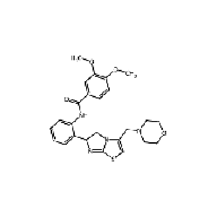 COc1ccc(C(=O)Nc2ccccc2C2CN3C(CN4CCOCC4)=CSC3=N2)cc1OC